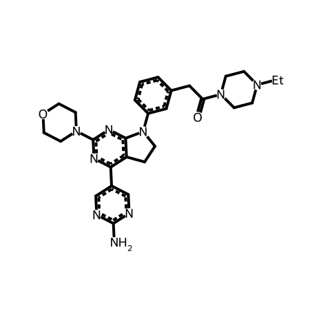 CCN1CCN(C(=O)Cc2cccc(N3CCc4c(-c5cnc(N)nc5)nc(N5CCOCC5)nc43)c2)CC1